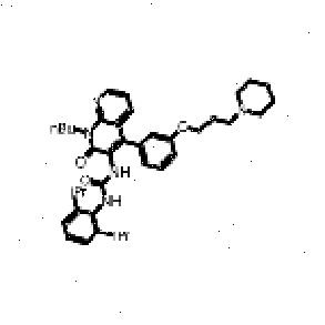 CCCCn1c(=O)c(NC(=O)Nc2c(C(C)C)cccc2C(C)C)c(-c2cccc(OCCCN3CCCCC3)c2)c2cccnc21